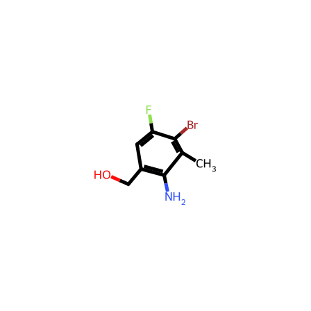 Cc1c(N)c(CO)cc(F)c1Br